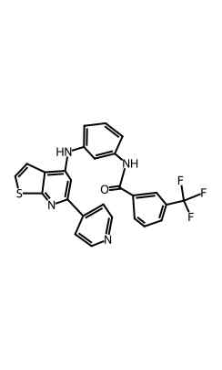 O=C(Nc1cccc(Nc2cc(-c3ccncc3)nc3sccc23)c1)c1cccc(C(F)(F)F)c1